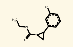 CCOC(=O)[C@@H]1CC1c1cccc(Br)c1